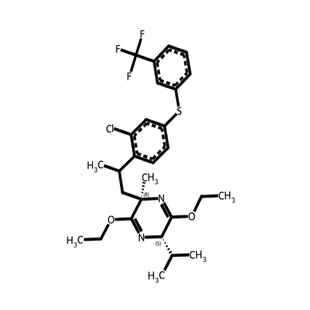 CCOC1=N[C@](C)(CC(C)c2ccc(Sc3cccc(C(F)(F)F)c3)cc2Cl)C(OCC)=N[C@H]1C(C)C